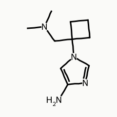 CN(C)CC1(n2cnc(N)c2)CCC1